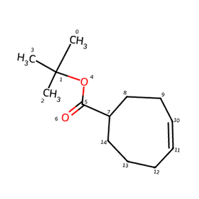 CC(C)(C)OC(=O)C1CC/C=C\CCC1